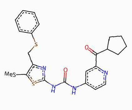 CSc1sc(NC(=O)Nc2ccnc(C(=O)C3CCCC3)c2)nc1CSc1ccccc1